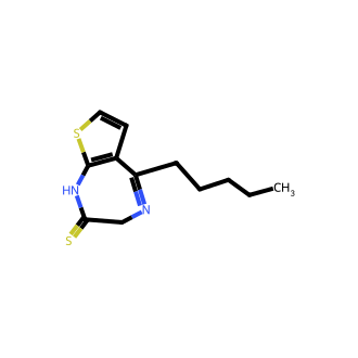 CCCCCC1=NCC(=S)Nc2sccc21